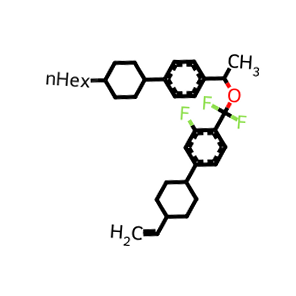 C=CC1CCC(c2ccc(C(F)(F)OC(C)c3ccc(C4CCC(CCCCCC)CC4)cc3)c(F)c2)CC1